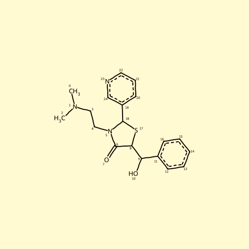 CN(C)CCN1C(=O)C(C(O)c2ccccc2)SC1c1cccnc1